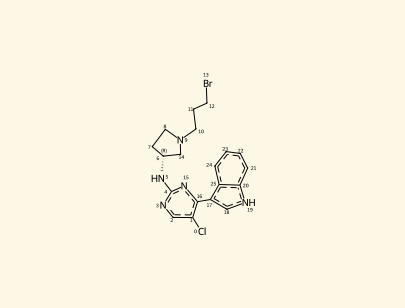 Clc1cnc(N[C@@H]2CCN(CCCBr)C2)nc1-c1c[nH]c2ccccc12